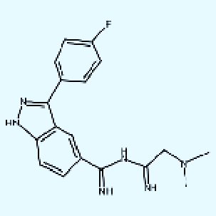 CN(C)CC(=N)NC(=N)c1ccc2[nH]nc(-c3ccc(F)cc3)c2c1